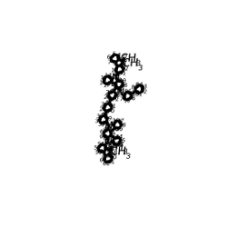 CC1(C)c2ccccc2-c2cc(-n3c4ccccc4c4c5c6ccc(-c7ccc(-c8cccc(-n9c%10ccccc%10c%10c%11c%12ccccc%12n(-c%12cccc%13c%12C(C)(C)c%12ccccc%12-%13)c%11ccc%109)c8)cc7)cc6n(-c6cccc(-c7ccccc7)c6)c5ccc43)ccc21